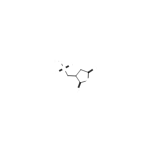 O=C1CC(CS(=O)(=O)O)C(=O)O1